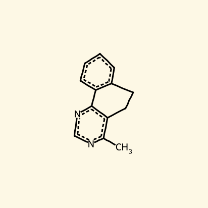 Cc1ncnc2c1CCc1ccccc1-2